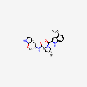 COc1cccc2[nH]c(C(=O)N3C[C@H](C(C)C)C[C@H]3C(=O)N[C@H](C#N)C[C@@H]3CCNC3=O)cc12